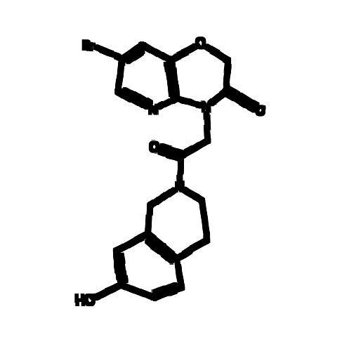 O=C(CN1C(=O)COc2cc(Br)cnc21)N1CCc2ccc(O)cc2C1